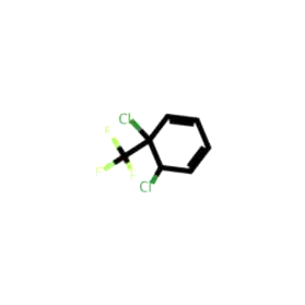 FC(F)(F)C1(Cl)C=CC=CC1Cl